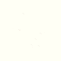 CN(C)c1nc(N[C@H]2CC[C@@H](CNC(=O)c3ccc([N+](=O)[O-])o3)CC2)nc2ccccc12